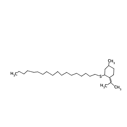 CCCCCCCCCCCCCCCCCCSC1CC(C)CCC1=C(C)C